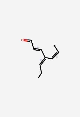 C\C=C/C(/C=C/C=O)=C\CC